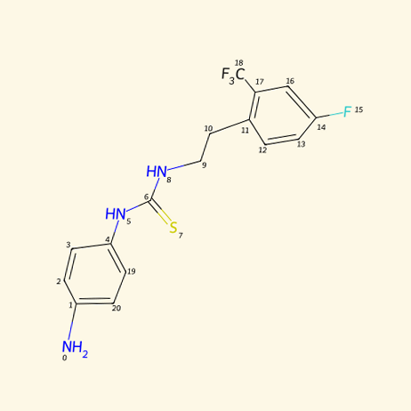 Nc1ccc(NC(=S)NCCc2ccc(F)cc2C(F)(F)F)cc1